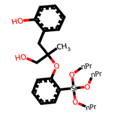 CCCO[Si](OCCC)(OCCC)c1ccccc1OC(C)(CO)Cc1ccccc1O